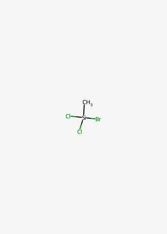 C[Si](Cl)(Cl)Br